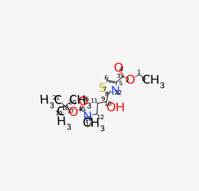 CCOC(=O)c1csc(C(O)CCN(C)C(=O)OC(C)(C)C)n1